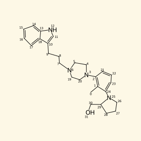 Cc1c(N2CCN(CCCc3c[nH]c4ccccc34)CC2)cccc1N1CCCC1CO